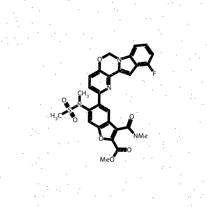 CNC(=O)c1c(C(=O)OC)oc2cc(N(C)S(C)(=O)=O)c(-c3ccc4c(n3)-c3cc5c(F)cccc5n3CO4)cc12